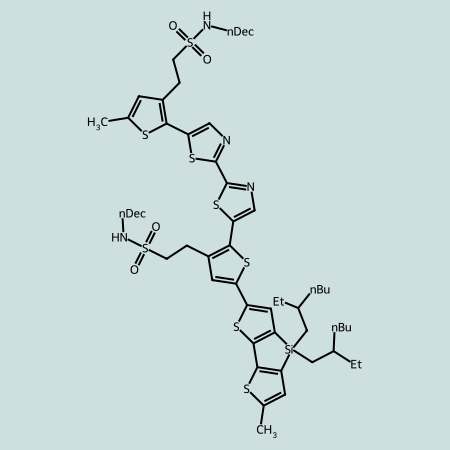 CCCCCCCCCCNS(=O)(=O)CCc1cc(C)sc1-c1cnc(-c2ncc(-c3sc(-c4cc5c(s4)-c4sc(C)cc4[Si]5(CC(CC)CCCC)CC(CC)CCCC)cc3CCS(=O)(=O)NCCCCCCCCCC)s2)s1